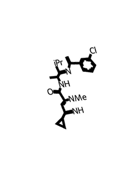 C=C(/N=C(\C(C)C)C(C)NC(=O)/C(=C/C(=N)C1CC1)NC)c1cccc(Cl)c1